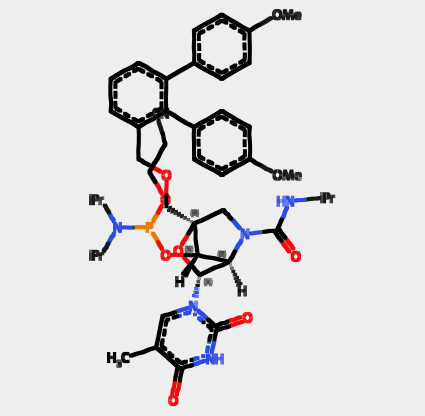 COc1ccc(-c2cccc(COC[C@@]34CN(C(=O)NC(C)C)[C@@H]([C@H](n5cc(C)c(=O)[nH]c5=O)O3)[C@@H]4OP(OCCC#N)N(C(C)C)C(C)C)c2-c2ccc(OC)cc2)cc1